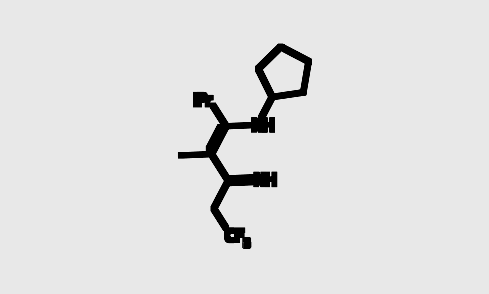 C/C(C(=N)CC(F)(F)F)=C(/NC1CCCC1)C(C)C